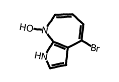 ON1C=CC=C(Br)c2cc[nH]c21